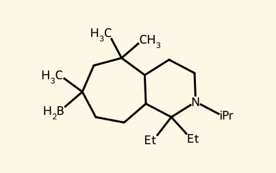 BC1(C)CCC2C(CCN(C(C)C)C2(CC)CC)C(C)(C)C1